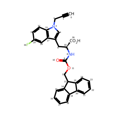 C#CCn1cc(C[C@H](NC(=O)OCC2c3ccccc3-c3ccccc32)C(=O)O)c2cc(F)ccc21